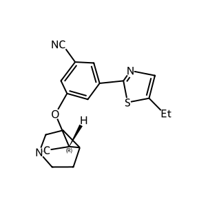 CCc1cnc(-c2cc(C#N)cc(O[C@H]3CN4CCC3CC4)c2)s1